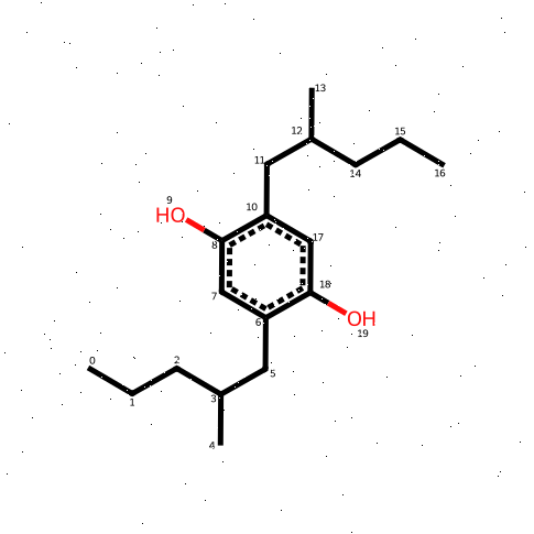 CCCC(C)Cc1cc(O)c(CC(C)CCC)cc1O